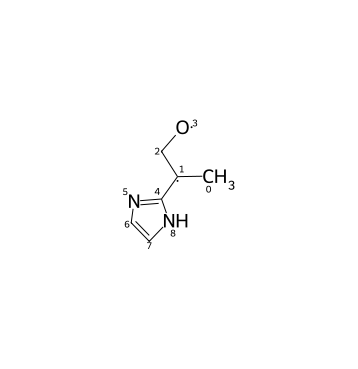 C[C](C[O])c1ncc[nH]1